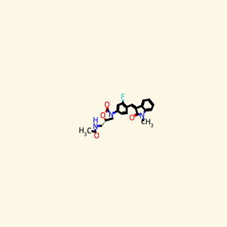 CC(=O)NC[C@H]1CN(c2ccc(/C=C3\C(=O)N(C)c4ccccc43)c(F)c2)C(=O)O1